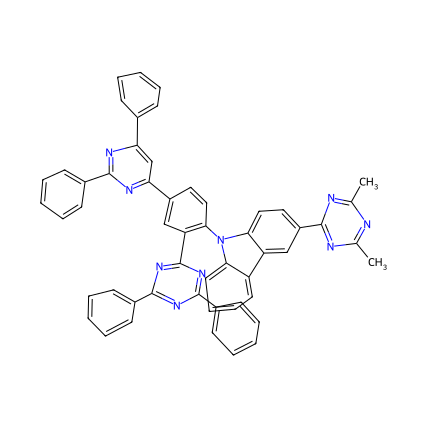 Cc1nc(C)nc(-c2ccc3c(c2)c2ccccc2n3-c2ccc(-c3cc(-c4ccccc4)nc(-c4ccccc4)n3)cc2-c2nc(-c3ccccc3)nc(-c3ccccc3)n2)n1